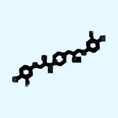 O=C(COc1ccc(Cl)c(F)c1)NN1CCN(CC(O)COc2ccc(Cl)c(F)c2)CC1